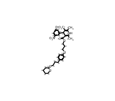 CCOC(=O)C1=C(C)NC(C)=C(C(=O)OCCCOc2ccc(CCCOC3CCCCO3)cc2)C1c1cccc([N+](=O)[O-])c1